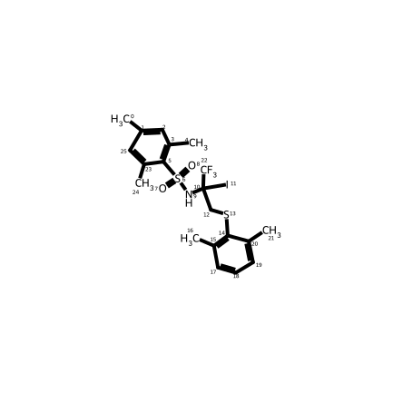 Cc1cc(C)c(S(=O)(=O)NC(I)(CSc2c(C)cccc2C)C(F)(F)F)c(C)c1